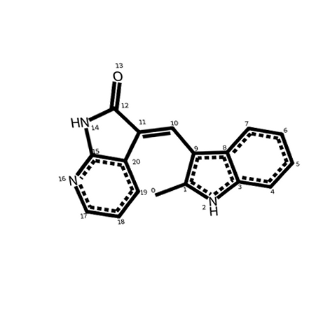 Cc1[nH]c2ccccc2c1C=C1C(=O)Nc2ncccc21